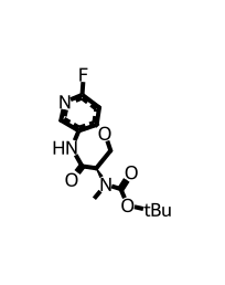 CN(C(=O)OC(C)(C)C)[C@@H]1COc2cc(F)ncc2NC1=O